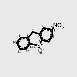 O=[N+]([O-])c1ccc2c(c1)Cc1ccccc1[S+]2[O-]